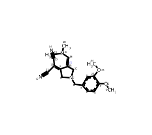 COc1ccc(CN2CC(=C(C#N)C#N)/C(=C\N(C)C)C2)cc1OC